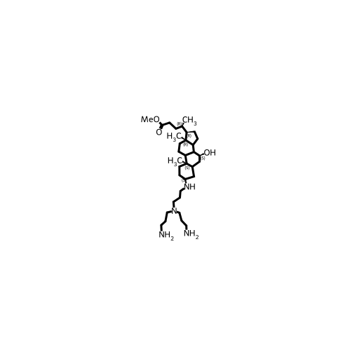 COC(=O)CC[C@@H](C)[C@H]1CCC2C3C(CC[C@@]21C)[C@@]1(C)CC[C@H](NCCCN(CCCN)CCCN)CC1C[C@@H]3O